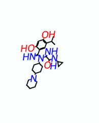 CC(C)c1cc(C(=N)N(C(=N)C(=O)NC2CC2)C2CCC(N3CCCCC3)CC2)c(O)cc1O